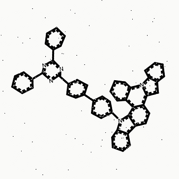 c1ccc(-c2nc(-c3ccccc3)nc(-c3ccc(-c4ccc(-n5c6ccccc6c6ccc7c(c8ccccc8n8c9ccccc9cc78)c65)cc4)cc3)n2)cc1